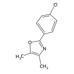 Cc1nc(-c2ccc(Cl)cc2)oc1C